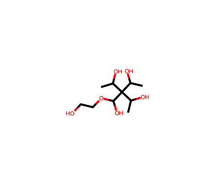 CC(O)C(C(C)O)(C(C)O)C(O)OCCO